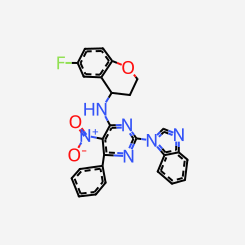 O=[N+]([O-])c1c(NC2CCOc3ccc(F)cc32)nc(-n2cnc3ccccc32)nc1-c1ccccc1